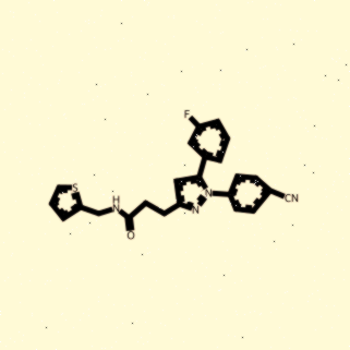 N#Cc1ccc(-n2nc(CCC(=O)NCc3cccs3)cc2-c2cccc(F)c2)cc1